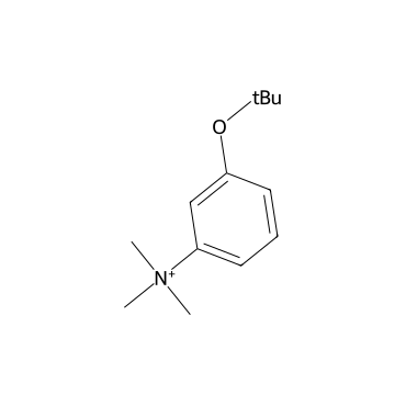 CC(C)(C)Oc1cccc([N+](C)(C)C)c1